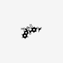 Cc1cc(OC(F)F)ccc1C(=O)NC1(C(=O)O)Cc2ccccc2C1